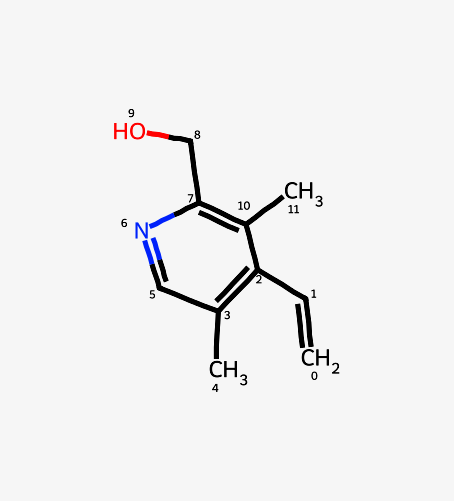 C=Cc1c(C)cnc(CO)c1C